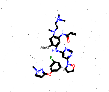 C=CC(=O)Nc1cc(Nc2cc(N3OCC[C@@H]3c3cc(F)cc(Oc4ccn(C)n4)c3)ncn2)c(OC)cc1N(C)CCN(C)C